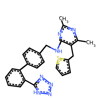 Cc1nc(C)c(Cc2cccs2)c(NCc2ccc(-c3ccccc3-c3nnn[nH]3)cc2)n1